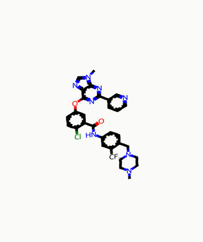 CN1CCN(Cc2ccc(NC(=O)c3cc(Oc4nc(-c5cccnc5)nc5c4ncn5C)ccc3Cl)cc2C(F)(F)F)CC1